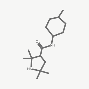 CC1CCC(NC(=O)C2CC(C)(C)NC2(C)C)CC1